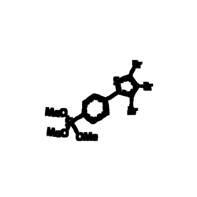 CO[Si](OC)(OC)c1ccc(-c2sc(Br)c(Br)c2Br)cc1